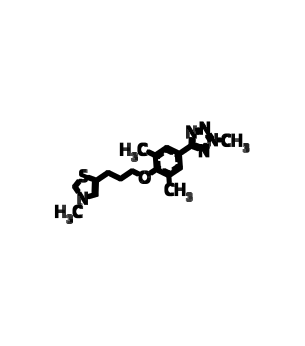 Cc1cc(-c2nnn(C)n2)cc(C)c1OCCCC1=CN(C)CS1